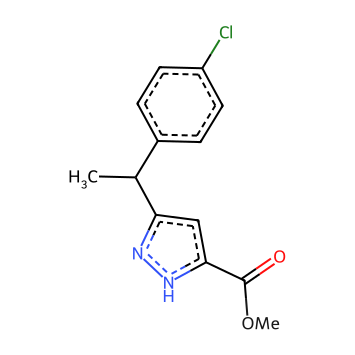 COC(=O)c1cc(C(C)c2ccc(Cl)cc2)n[nH]1